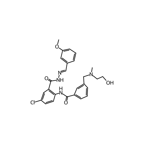 COc1cccc(/C=N/NC(=O)c2cc(Cl)ccc2NC(=O)c2cccc(CN(C)CCO)c2)c1